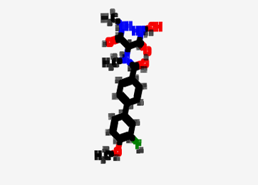 CNC(=O)C(C(=O)NO)N(C)C(=O)c1ccc(-c2ccc(OC)c(F)c2)cc1